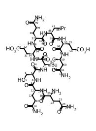 CC[C@H](C)[C@H](NC(=O)[C@H](CO)NC(=O)[C@H](CCC(N)=O)NC(=O)[C@@H](N)CCC(N)=O)C(=O)N[C@@H](CCC(=O)O)C(=O)N[C@@H](CCC(N)=O)C(=O)N[C@@H](CC(C)C)C(=O)N[C@@H](CCC(=O)O)C(=O)N[C@@H](CC(N)=O)C(=O)O